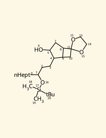 CCCCCCCC(CCC1C(O)CC2C1CC21OCCO1)O[Si](C)(C)C(C)(C)C